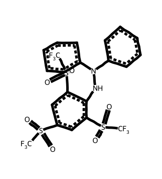 O=S(=O)(c1cc(S(=O)(=O)C(F)(F)F)c(NN(c2ccccc2)c2ccccc2)c(S(=O)(=O)C(F)(F)F)c1)C(F)(F)F